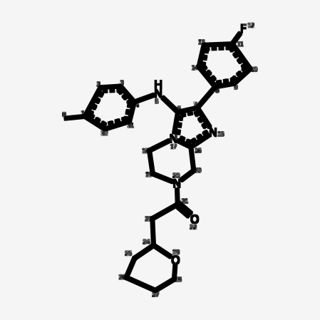 Cc1ccc(Nc2c(-c3ccc(F)cc3)nc3n2CCN(C(=O)CC2CCCCO2)C3)cc1